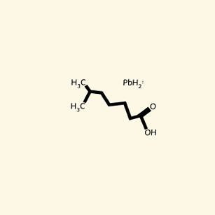 CC(C)CCCCC(=O)O.[PbH2]